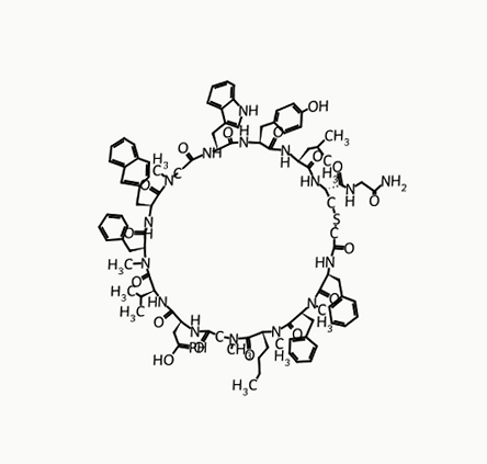 CCCC[C@H]1C(=O)N(C)CC(=O)N[C@@H](CC(O)=P)C(=O)N[C@@H](C(C)C)C(=O)N(C)[C@@H](Cc2ccccc2)C(=O)N[C@@H](Cc2ccc3ccccc3c2)C(=O)N(C)CC(=O)N[C@@H](Cc2c[nH]c3ccccc23)C(=O)N[C@@H](Cc2ccc(O)cc2)C(=O)N[C@@H](CC(C)C)C(=O)N[C@H](C(=O)NCC(N)=O)CSCC(=O)N[C@@H](Cc2ccccc2)C(=O)N(C)[C@@H](Cc2ccccc2)C(=O)N1C